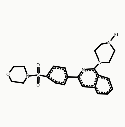 CCN1CCN(c2nc(-c3ccc(S(=O)(=O)N4CCOCC4)cc3)cc3ccccc23)CC1